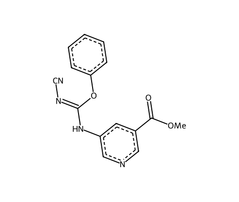 COC(=O)c1cncc(N/C(=N/C#N)Oc2ccccc2)c1